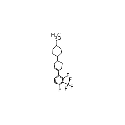 CCCC1CCC(C2CC=C(c3ccc(F)c(C(F)(F)F)c3F)CC2)CC1